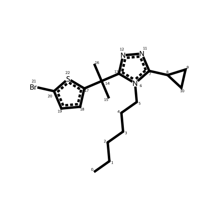 CCCCCCn1c(C2CC2)nnc1C(C)(C)c1ccc(Br)s1